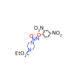 CCOC(=O)N1CCN([N+]([O-])=NOc2ccc([N+](=O)[O-])cc2[N+](=O)[O-])CC1